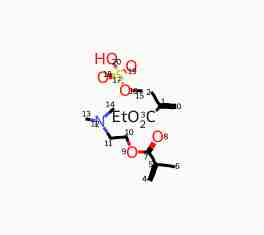 C=C(C)C(=O)OCC.C=C(C)C(=O)OCCN(C)C.COS(=O)(=O)O